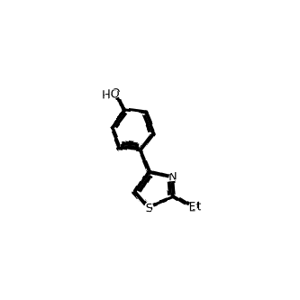 CCc1nc(-c2ccc(O)cc2)cs1